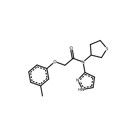 Cc1cccc(OCC(=O)N(c2cc[nH]n2)C2CCSC2)c1